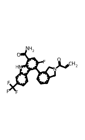 C=CC(=O)N1Cc2cccc(-c3c(F)cc(C(N)=O)c4[nH]c5cc(C(F)(F)F)ccc5c34)c2C1